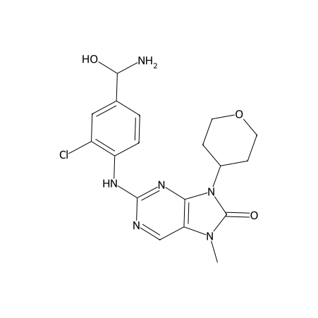 Cn1c(=O)n(C2CCOCC2)c2nc(Nc3ccc(C(N)O)cc3Cl)ncc21